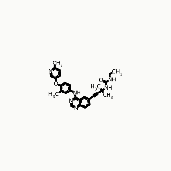 CCNC(=O)NC(C)(C)C#Cc1ccc2ncnc(Nc3ccc(Oc4ccc(C)nc4)c(C)c3)c2c1